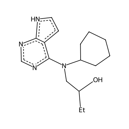 CCC(O)CN(c1ncnc2[nH]ccc12)C1CCCCC1